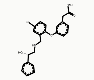 COC(=O)Cc1cccc(Oc2ccc(Br)cc2CNC[C@@H](O)c2ccccc2)c1